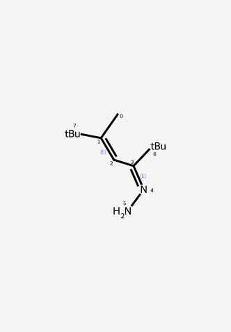 C/C(=C\C(=N/N)C(C)(C)C)C(C)(C)C